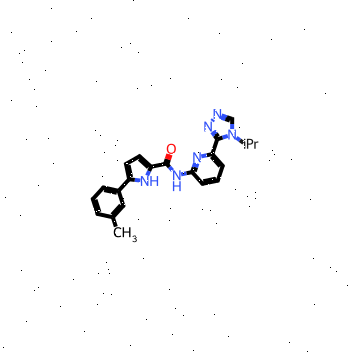 Cc1cccc(-c2ccc(C(=O)Nc3cccc(-c4nncn4C(C)C)n3)[nH]2)c1